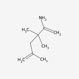 C=C(C)CC(C)(C)C(=C)N